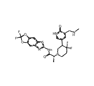 CNCc1cc(C2CN([C@@H](C)C(=O)Nc3nc4cc5c(cc4s3)OC(F)(F)O5)CCC2(F)F)c[nH]c1=O